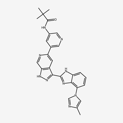 Cc1cn(-c2cccc3[nH]c(-c4n[nH]c5cnc(-c6cncc(NC(=O)C(C)(C)C)c6)cc45)nc23)cn1